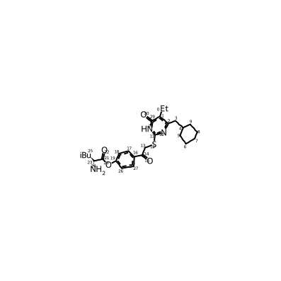 CCc1c(CC2CCCCC2)nc(SCC(=O)c2ccc(OC(=O)[C@H](N)[C@H](C)CC)cc2)[nH]c1=O